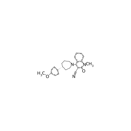 COc1ccc([C@@H]2CCCN(c3c(C#N)c(=O)n(C)c4ccccc34)CC2)cc1